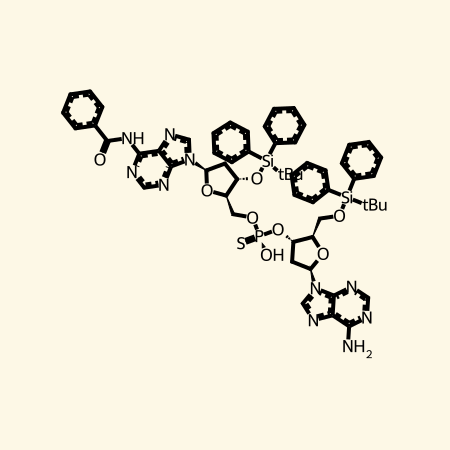 CC(C)(C)[Si](OC[C@H]1O[C@@H](n2cnc3c(N)ncnc32)C[C@@H]1O[P@](O)(=S)OC[C@H]1O[C@@H](n2cnc3c(NC(=O)c4ccccc4)ncnc32)C[C@@H]1O[Si](c1ccccc1)(c1ccccc1)C(C)(C)C)(c1ccccc1)c1ccccc1